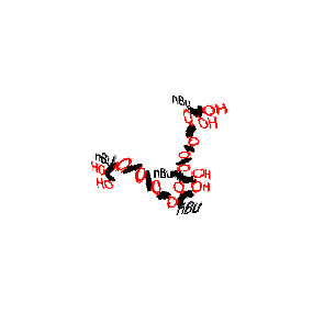 CCCCC(OCCOCCOCCOC(CCCC)C(CO)OC(CO)C(CCCC)OCCOCCOCCOC(CCCC)C(O)CO)C(O)CO